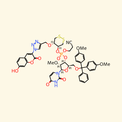 COc1ccc(C(OC[C@H]2O[C@@H](n3ccc(=O)[nH]c3=O)[C@H](OC)[C@@H]2OP(=O)(OCCC#N)O[C@@H]2CSSC[C@H]2OCc2cn(-c3cc4ccc(O)cc4oc3=O)nn2)(c2ccccc2)c2ccc(OC)cc2)cc1